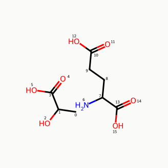 CC(O)C(=O)O.NC(CCC(=O)O)C(=O)O